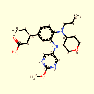 CCCN(c1ccc([C@H](CC)CC(=O)O)cc1Nc1cnc(OC)nc1)C1CCOCC1